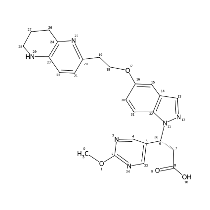 COc1ncc([C@@H](CC(=O)O)n2ncc3cc(OCCc4ccc5c(n4)CCCN5)ccc32)cn1